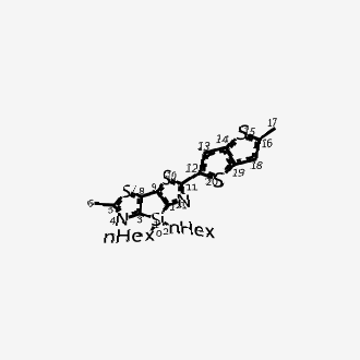 CCCCCC[Si]1(CCCCCC)c2nc(C)sc2-c2sc(-c3cc4sc(C)cc4s3)nc21